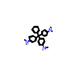 CN(C)c1ccc(C(c2ccccc2)(c2ccc(N(C)C)cc2)c2ccc(N(C)C)cc2)cc1